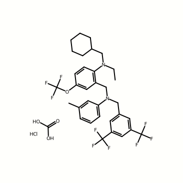 CCN(CC1CCCCC1)c1ccc(OC(F)(F)F)cc1CN(Cc1cc(C(F)(F)F)cc(C(F)(F)F)c1)c1cccc(C)c1.Cl.O=C(O)O